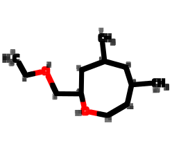 CCOCC1CC(C)CC(C)CCO1